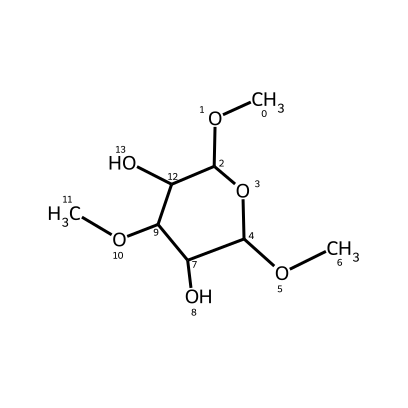 COC1OC(OC)C(O)C(OC)C1O